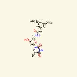 CCc1cn([C@@H]2CC(O)[C@H](CNC(=O)Cc3cc(OC)cc(OC)c3)O2)c(=O)[nH]c1=O